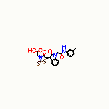 Cc1cccc(NC(=O)CN2C(=O)C(=C3SC(=S)N(CC(=O)O)C3=O)c3ccccc32)c1